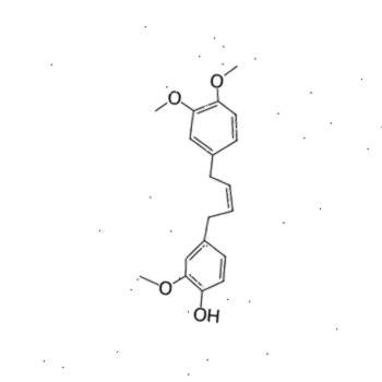 COc1cc(C/C=C\Cc2ccc(OC)c(OC)c2)ccc1O